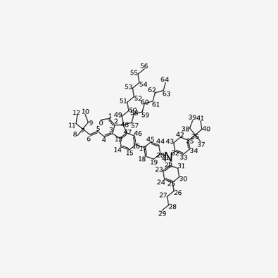 C\C=C1/C(=C\C=C\C(C)(CC)CC)c2ccc(C3=CCC(N(C4=CC=C(CCCC)CC4)C4=CC=C(C(C)(CC)CC)CC4)C=C3)cc2C1(CCCCCCCC)CCCCCCCC